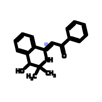 CC1(C)N/C(=C\C(=O)c2ccccc2)c2ccccc2C1O